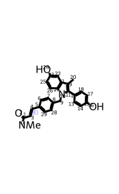 CNC(=O)/C=C/c1ccc(Cn2c(-c3ccc(O)cc3)c(C)c3cc(O)ccc32)cc1